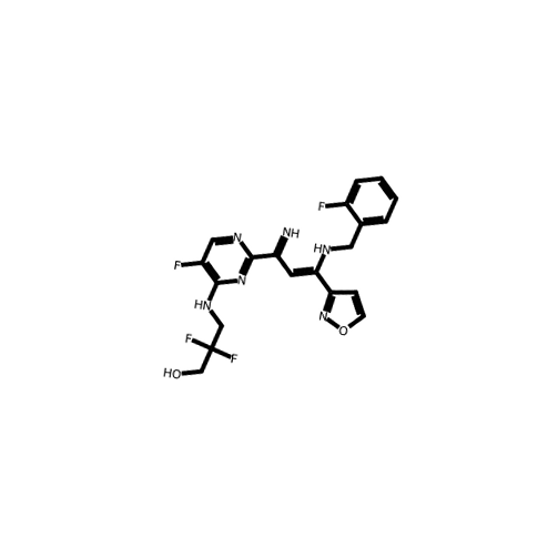 N=C(/C=C(\NCc1ccccc1F)c1ccon1)c1ncc(F)c(NCC(F)(F)CO)n1